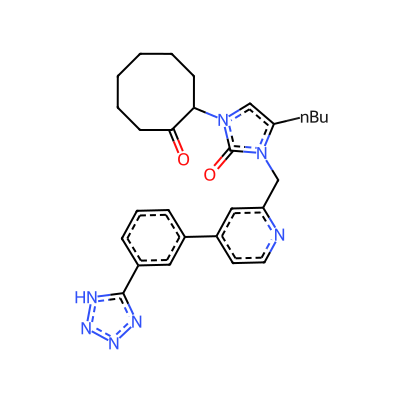 CCCCc1cn(C2CCCCCCC2=O)c(=O)n1Cc1cc(-c2cccc(-c3nnn[nH]3)c2)ccn1